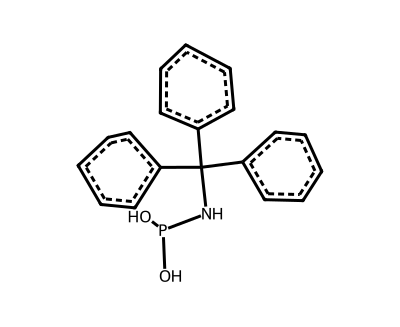 OP(O)NC(c1ccccc1)(c1ccccc1)c1ccccc1